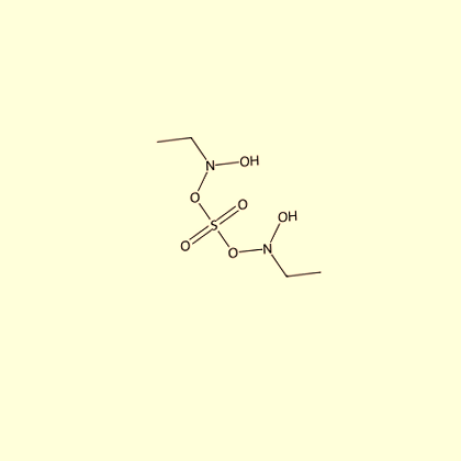 CCN(O)OS(=O)(=O)ON(O)CC